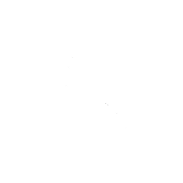 O=C(O)c1c(Cl)cc2c(c1Cl)CCN(C(=O)c1ccc3ccocc1-3)C2